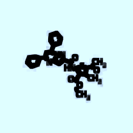 CCOC(=O)c1c(NC(=O)c2cc3nc(-c4ccccc4)cc(-c4ccccc4)n3n2)sc(C(C)=O)c1C